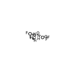 O=C(NCc1cccc(OC(F)F)c1)c1nn(-c2ccc(F)cc2F)c2c1C[C@H]1C[C@@H]21